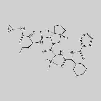 CCC[C@H](NC(=O)C1[C@H]2CCC[C@@H]2CN1C(=O)C(NC(=O)[C@H](NC(=O)c1cnccn1)C1CCCCC1)C(C)(C)C)C(=O)C(=O)NC1CC1